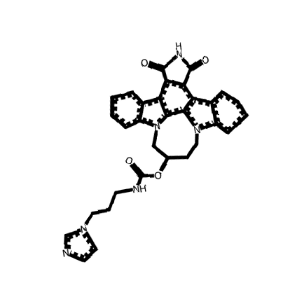 O=C(NCCCn1ccnc1)OC1CCn2c3ccccc3c3c4c(c5c6ccccc6n(c5c32)C1)C(=O)NC4=O